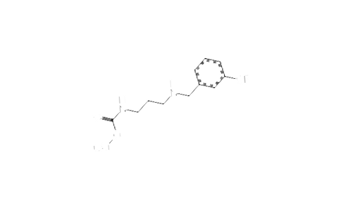 CC(C)(C)OC(=O)NCCCNCc1cccc(C(F)(F)F)c1